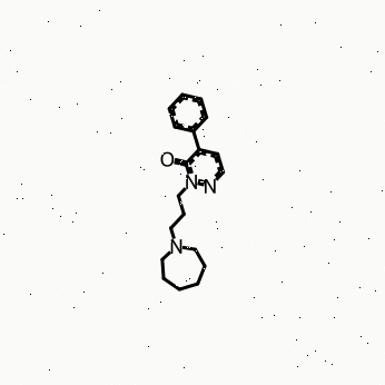 O=c1c(-c2ccccc2)ccnn1CCCN1CCCCCC1